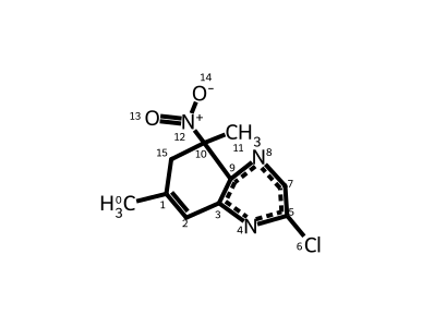 CC1=Cc2nc(Cl)cnc2C(C)([N+](=O)[O-])C1